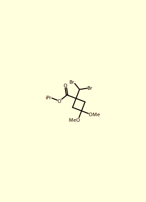 COC1(OC)CC(C(=O)OC(C)C)(C(Br)Br)C1